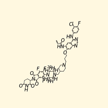 [2H]C1([2H])N(CC2CCN(CCCOc3cc4ncnc(Nc5ccc(F)c(Cl)c5)c4cc3NC(=O)C=C)CC2)C([2H])([2H])C([2H])([2H])N(c2c(F)c(F)c3c(c2F)C(=O)N(C2CCC(=O)NC2=O)C3=O)C1([2H])[2H]